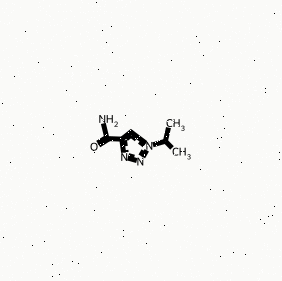 CC(C)n1cc(C(N)=O)nn1